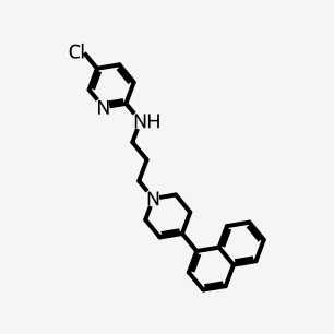 Clc1ccc(NCCCN2CC=C(c3cccc4ccccc34)CC2)nc1